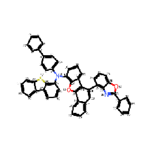 c1ccc(-c2ccc(N(c3cccc4c3oc3c5ccccc5cc(-c5cccc6oc(-c7ccccc7)nc56)c43)c3cccc4c3sc3ccccc34)cc2)cc1